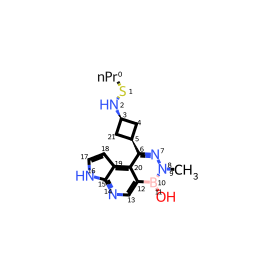 CCCSN[C@H]1C[C@@H](C2=NN(C)B(O)c3cnc4[nH]ccc4c32)C1